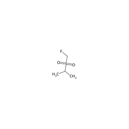 CC(C)S(=O)(=O)CF